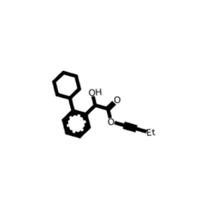 CCC#COC(=O)C(O)c1ccccc1C1CCCCC1